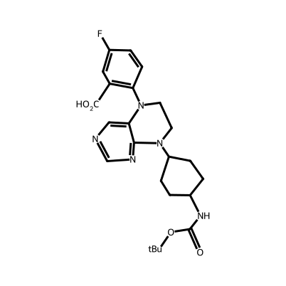 CC(C)(C)OC(=O)NC1CCC(N2CCN(c3ccc(F)cc3C(=O)O)c3cncnc32)CC1